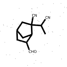 CC(C#N)C1(C#N)CC2CC(C=O)C1C2